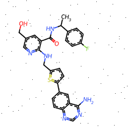 CC(NC(=O)c1cc(CO)cnc1NCc1ccc(-c2ccc3ncnc(N)c3c2)s1)c1ccc(F)cc1